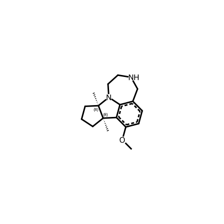 COc1ccc2c3c1[C@@]1(C)CCC[C@@]1(C)N3CCNC2